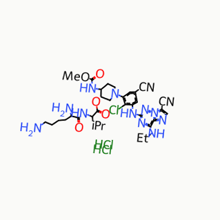 CCNc1nc(Nc2cc(C#N)cc(N3CCC(NC(=O)OC)C(OC(=O)C(NC(=O)C(N)CCCCN)C(C)C)C3)c2Cl)nn2c(C#N)cnc12.Cl.Cl